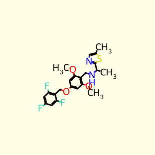 COc1cc(OCc2c(F)cc(F)cc2F)cc(OC)c1CNC(C)c1ncc(C)s1